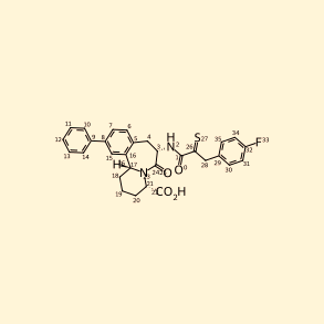 O=C(N[C@H]1Cc2ccc(-c3ccccc3)cc2[C@H]2CCC[C@@H](C(=O)O)N2C1=O)C(=S)Cc1ccc(F)cc1